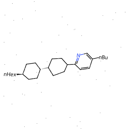 CCCCCC[C@H]1CC[C@H](C2CCC(c3ccc(CCCC)cn3)CC2)CC1